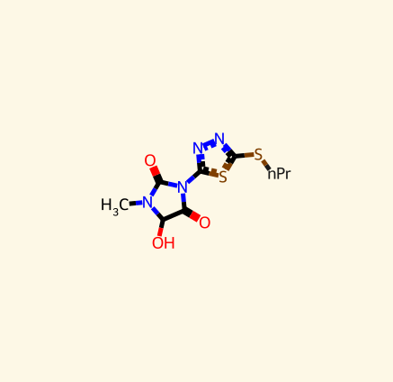 CCCSc1nnc(N2C(=O)C(O)N(C)C2=O)s1